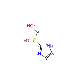 [O-][S+](CO)c1ncc[nH]1